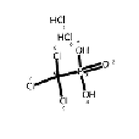 Cl.Cl.O=P(O)(O)C(Cl)(Cl)Cl